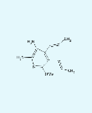 CC=Cc1c(OC)nc(N)c(N)c1C=CC